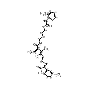 Cc1[nH]c(/C=N/N=C2\C(=O)Nc3ccc([N+](=O)[O-])cc32)c(C)c1C(=O)NCCCCCC(=O)Nc1ccccc1N